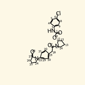 O=C(Nc1ccc(Cl)cc1)O[C@@H]1CCCN1C(=O)Cc1ccc(N2CCCC2=O)cc1